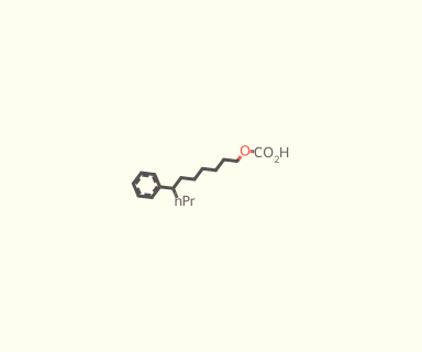 CCCC(CCCCCCOC(=O)O)c1ccccc1